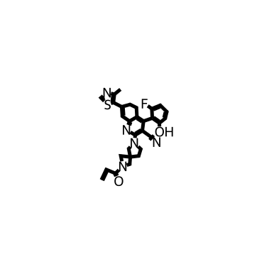 C=CC(=O)N1CC2(CCN(c3nc4c(c(-c5c(O)cccc5F)c3C#N)CCC(c3scnc3C)=C4)C2)C1